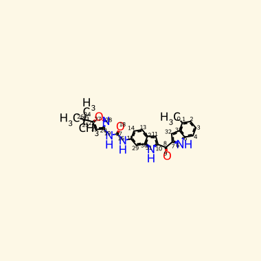 Cc1cccc2[nH]c(C(=O)c3cc4ccc(NC(=O)Nc5cc(C(C)(C)C)on5)cc4[nH]3)cc12